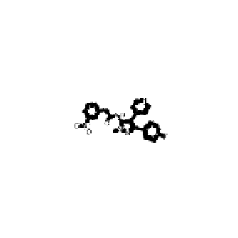 Cn1nc(-c2ccc(F)cc2)c(-c2ccncc2)c1NC(=O)Cc1cccc([N+](=O)[O-])c1